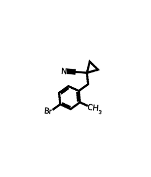 Cc1cc(Br)ccc1CC1(C#N)CC1